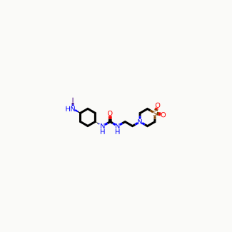 O=C(NCCN1CCS(=O)(=O)CC1)N[C@H]1CC[C@H](NI)CC1